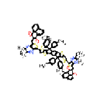 Cc1ccc(C2(c3ccc(C)cc3)c3cc4c(cc3-c3sc5cc(-c6sc(C=c7c(=O)c8cccc9cccc(c7=O)c98)c7nc(C)c(C)nc67)sc5c32)C(c2ccc(C)cc2)(c2ccc(C)cc2)c2c-4sc3cc(-c4sc(C=c5c(=O)c6cccc7cccc(c5=O)c76)c5nc(C)c(C)nc45)sc23)cc1